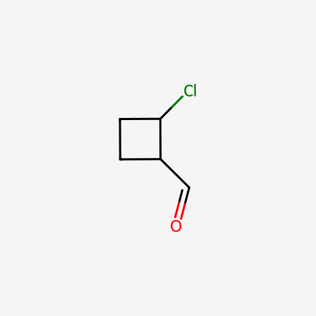 O=CC1CCC1Cl